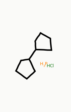 C1CCC(C2CCCC2)C1.Cl.P